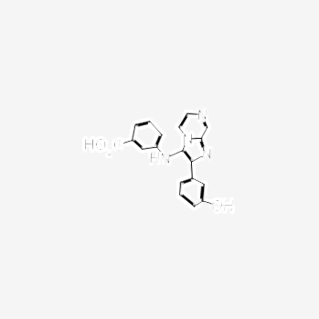 O=C(O)c1cccc(Nc2c(-c3cccc(O)c3)nc3cnccn23)c1